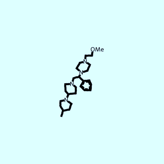 COCCN1CCN(C(CN2CCC(N3CCC(C)CC3)CC2)c2ccccc2)CC1